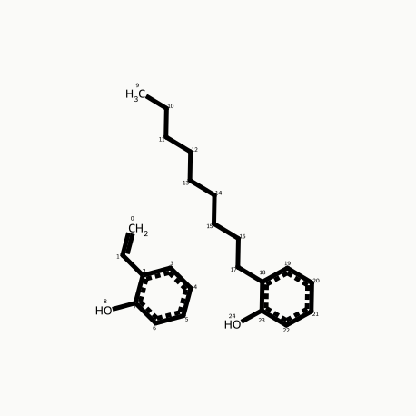 C=Cc1ccccc1O.CCCCCCCCCc1ccccc1O